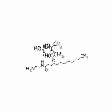 CC(=O)O.CC(=O)O.CC(=O)O.CCCCCCCCCCCC(=O)NCCN